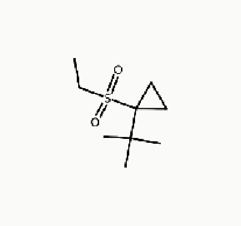 CCS(=O)(=O)C1(C(C)(C)C)CC1